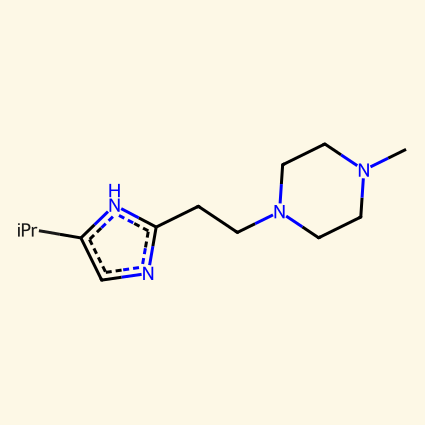 CC(C)c1cnc(CCN2CCN(C)CC2)[nH]1